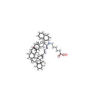 C=C(/C=C/C=C/C=C1/N(CCCCCC(=O)O)c2ccc3ccccc3c2C1(C)Cc1ccccc1)C(C)(Cc1ccccc1)c1c(C)ccc2ccccc12